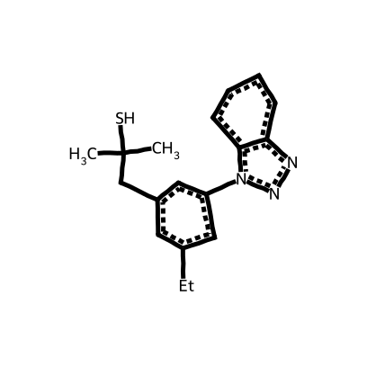 CCc1cc(CC(C)(C)S)cc(-n2nnc3ccccc32)c1